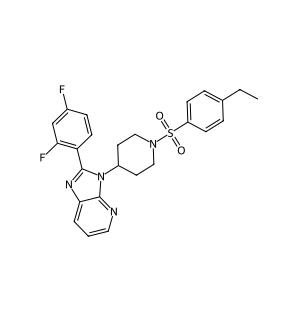 CCc1ccc(S(=O)(=O)N2CCC(n3c(-c4ccc(F)cc4F)nc4cccnc43)CC2)cc1